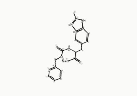 COC(=O)C(Cc1ccc2[nH]c(C)nc2c1)NC(=O)OCc1ccccc1